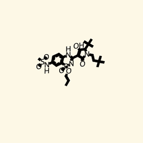 CCCOP1(=O)N=C(C2=C(O)C(C(C)(C)C)N(CCC(C)(C)C)C2=O)Nc2ccc(NS(C)(=O)=O)cc21